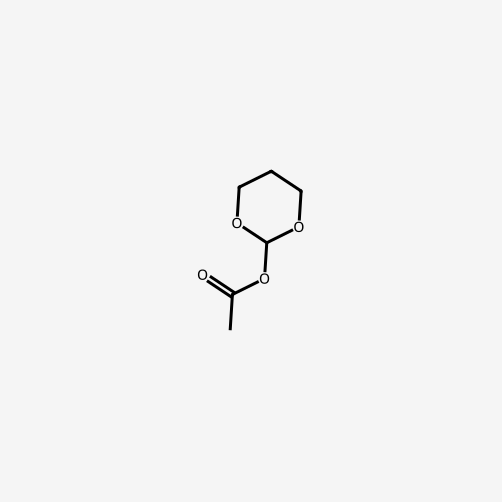 CC(=O)OC1OCCCO1